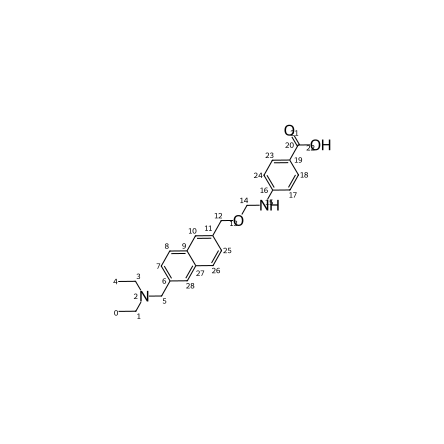 CCN(CC)Cc1ccc2cc(COCNc3ccc(C(=O)O)cc3)ccc2c1